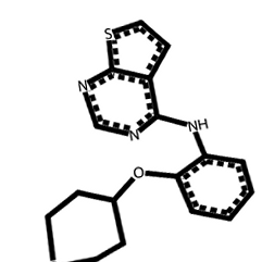 c1ccc(OC2CCOCC2)c(Nc2ncnc3sccc23)c1